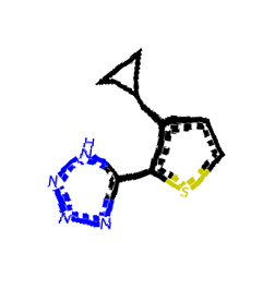 c1cc(C2CC2)c(-c2nnn[nH]2)s1